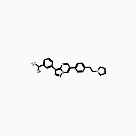 CC(O)c1cccc(-c2cnn3cc(-c4ccc(CCN5CCCC5)cc4)cnc23)c1